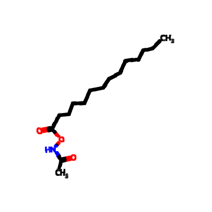 CCCCCCCCCCCCCC(=O)ONC(C)=O